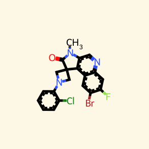 CN1C(=O)C2(CN(c3ccccc3Cl)C2)c2c1cnc1cc(F)c(Br)cc21